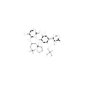 Cn1c(=O)nnn1-c1cc(Nc2ncc(F)c(N[C@@H]3C[C@@H]4CCCN4C(C)(C)C3)n2)c(F)cc1OCC1(C)COC1